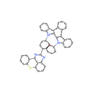 c1ccc(-n2c3ccccc3c3c4ccccc4c4c5ccccc5n(-c5ccc(-c6nc7c8c(cccc8n6)Sc6ccccc6-7)cc5)c4c32)cc1